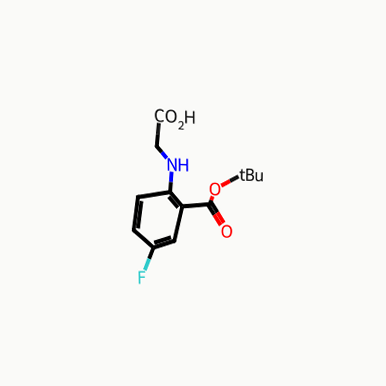 CC(C)(C)OC(=O)c1cc(F)ccc1NCC(=O)O